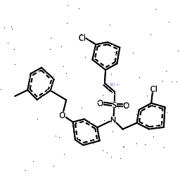 Cc1cccc(COc2cccc(N(Cc3cccc(Cl)c3)S(=O)(=O)/C=C/c3cccc(Cl)c3)c2)c1